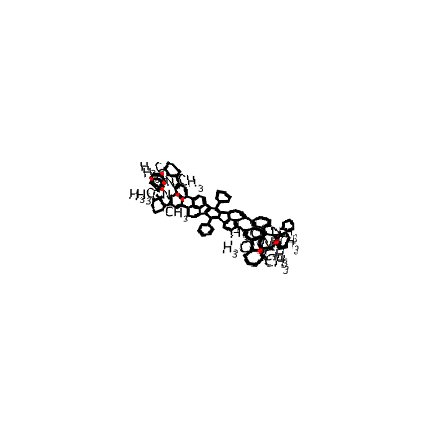 CC1CCCC2(C)c3cc(-c4ccc5c6c(-c7ccccc7)c7c8ccc(-c9ccc%10c(c9)C9(C)CCCC(C)C9(C)N%10c9ccccc9)c9c(-c%10ccc%11c(c%10)C%10(C)CCCC(C)C%10(C)N%11c%10ccccc%10)ccc(c7c(-c7ccccc7)c6c6ccc(-c7ccc%10c(c7)C7(C)CCCC(C)C7(C)N%10c7ccccc7)c4c56)c98)ccc3N(c3ccccc3)C12C